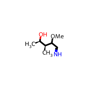 COC(C=N)[C@@H](C)[C@@H](C)O